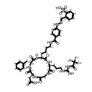 N=C(NCCC[C@@H]1NC(=O)[C@H](CCCCNC(=O)c2ccc(N/N=C/c3ccccc3S(=O)(=O)O)nc2)NC(=O)[C@@H](Cc2ccccc2)NC(=O)[C@H](CC(=O)O)NC(=O)CNC1=O)NC(=O)C(F)(F)F